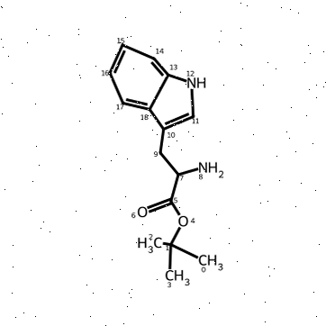 CC(C)(C)OC(=O)C(N)Cc1c[nH]c2ccccc12